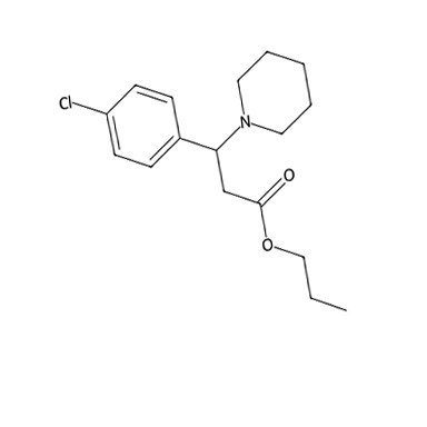 CCCOC(=O)CC(c1ccc(Cl)cc1)N1CCCCC1